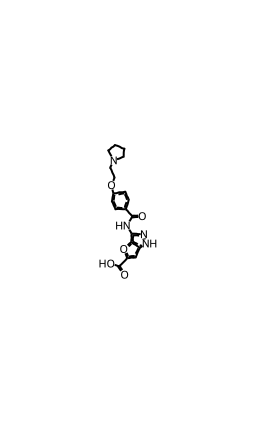 O=C(Nc1n[nH]c2cc(C(=O)O)oc12)c1ccc(OCCN2CCCC2)cc1